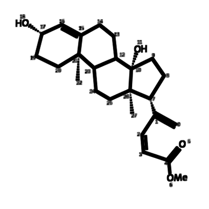 C=C(/C=C\C(=O)OC)[C@H]1CC[C@]2(O)C3CCC4=C[C@@H](O)CC[C@]4(C)C3CC[C@]12C